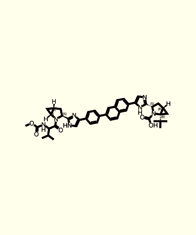 COC(=O)NC(C(=O)N1[C@@H]2C[C@@H]2C[C@H]1c1nc(-c2ccc(-c3ccc4cc(-c5cnc([C@@H]6C[C@@H]7C[C@@]7(C(C)(C)C)N6C(=O)O)[nH]5)ccc4c3)cc2)c[nH]1)C(C)C